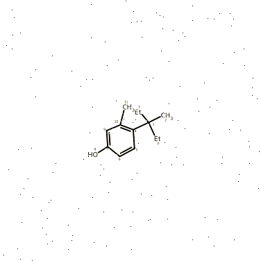 CCC(C)(CC)c1ccc(O)cc1C